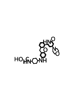 O=C(O)NC1CCC(Nc2ccc3c(c2)Cc2cccc(-c4cc(N5CCOCC5)cc(=O)[nH]4)c2O3)CC1